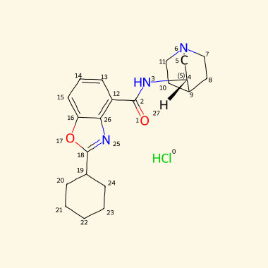 Cl.O=C(N[C@@H]1CN2CCC1CC2)c1cccc2oc(C3CCCCC3)nc12